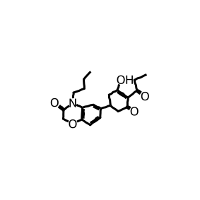 CCCCN1C(=O)COc2ccc(C3CC(=O)C(C(=O)CC)=C(O)C3)cc21